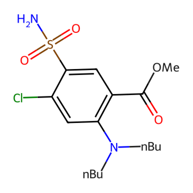 CCCCN(CCCC)c1cc(Cl)c(S(N)(=O)=O)cc1C(=O)OC